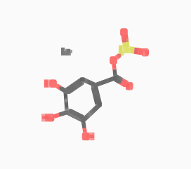 O=C(O[SH](=O)=O)c1cc(O)c(O)c(O)c1.[La]